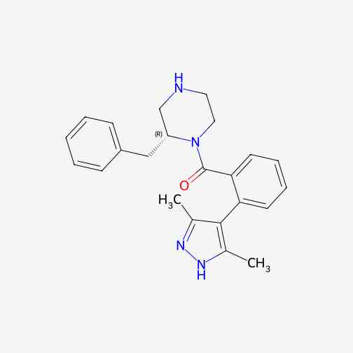 Cc1n[nH]c(C)c1-c1ccccc1C(=O)N1CCNC[C@H]1Cc1ccccc1